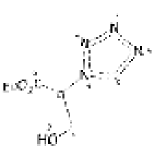 CCOC(=O)C(CO)n1cnnn1